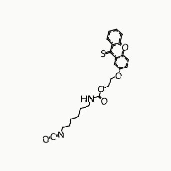 O=C=NCCCCCCNC(=O)OCCOc1ccc2oc3ccccc3c(=S)c2c1